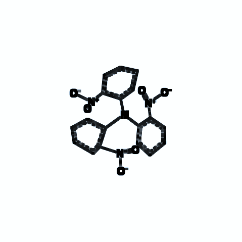 O=[N+]([O-])c1cccc[c]1[Bi]([c]1ccccc1[N+](=O)[O-])[c]1ccccc1[N+](=O)[O-]